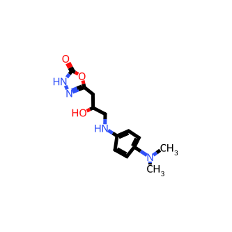 CN(C)c1ccc(NCC(O)Cc2n[nH]c(=O)o2)cc1